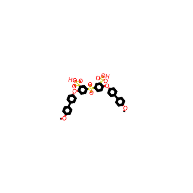 COc1ccc(-c2ccc(Oc3ccc(S(=O)(=O)c4ccc(Oc5ccc(-c6ccc(OC)cc6)cc5)c(S(=O)(=O)O)c4)cc3S(=O)(=O)O)cc2)cc1